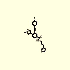 Cn1cc(-c2ccc(C(=O)NCCCC3=CCN=C3)cc2C#Cc2ccc(F)cc2)cn1